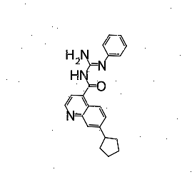 NC(=Nc1ccccc1)NC(=O)c1ccnc2cc(C3CCCC3)ccc12